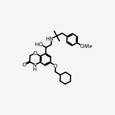 COc1ccc(CC(C)(C)NCC(O)c2cc(OCC3CCCCC3)cc3c2OCC(=O)N3)cc1